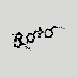 CC(=O)NCC1CCCN(S(=O)(=O)CC2CCC(N(C)c3ncnc4[nH]ccc34)CC2)C1